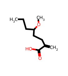 C=C(CCC(CCC)OC)C(=O)O